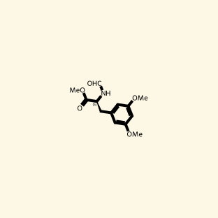 COC(=O)[C@H](Cc1cc(OC)cc(OC)c1)NC=O